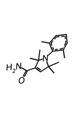 Cc1cccc(C)c1N1C(C)(C)C=C(C(N)=O)C1(C)C